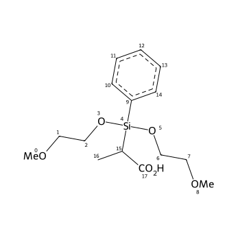 COCCO[Si](OCCOC)(c1ccccc1)C(C)C(=O)O